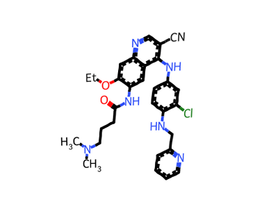 CCOc1cc2ncc(C#N)c(Nc3ccc(NCc4ccccn4)c(Cl)c3)c2cc1NC(=O)CCCN(C)C